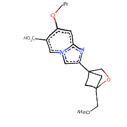 COCC12CC(c3cn4cc(C(=O)O)c(OC(C)C)cc4n3)(CO1)C2